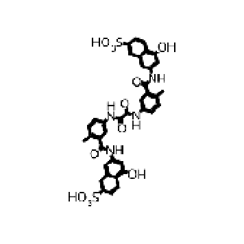 Cc1ccc(NC(=O)C(=O)Nc2ccc(C)c(C(=O)Nc3cc(O)c4ccc(S(=O)(=O)O)cc4c3)c2)cc1C(=O)Nc1cc(O)c2ccc(S(=O)(=O)O)cc2c1